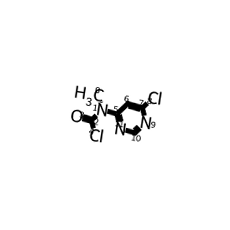 CN(C(=O)Cl)c1cc(Cl)ncn1